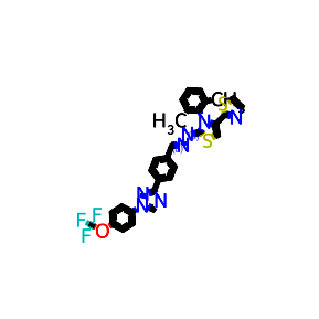 Cc1cccc(C)c1-n1c(-c2nccs2)cs/c1=N\N=C\c1ccc(-c2ncn(-c3ccc(OC(F)(F)F)cc3)n2)cc1